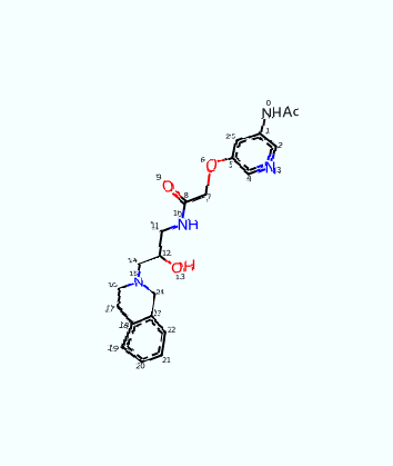 CC(=O)Nc1cncc(OCC(=O)NCC(O)CN2CCc3ccccc3C2)c1